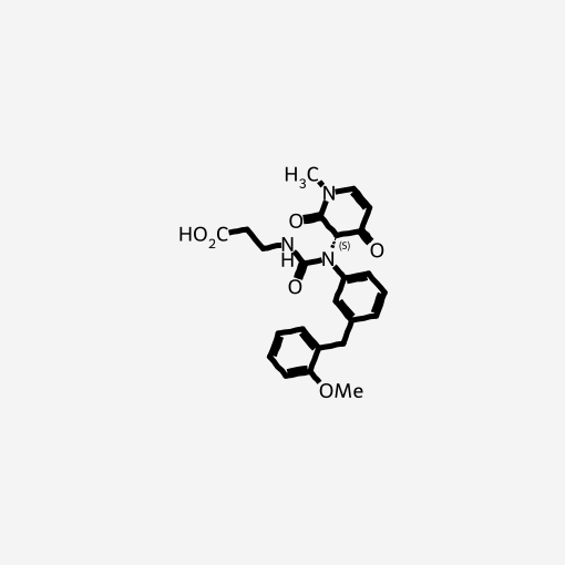 COc1ccccc1Cc1cccc(N(C(=O)NCCC(=O)O)[C@H]2C(=O)C=CN(C)C2=O)c1